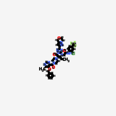 CCc1c(N2CCN(C(=O)c3ncnc(C)c3OCc3ccccc3)CC2)c(=O)n2nc(-c3cc4n(n3)CCOC4)nc2n1CC(=O)Nc1ccc(C(F)(F)F)cc1Cl